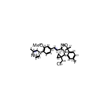 C=CN(/C=C(/C)N)c1ccc(/C=C/C2=NOC(C)(c3ccc(F)cc3)N2CC2(CCl)CC2)cc1OC